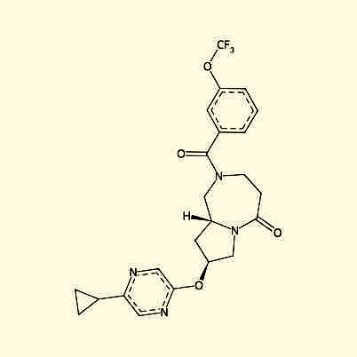 O=C(c1cccc(OC(F)(F)F)c1)N1CCC(=O)N2C[C@@H](Oc3cnc(C4CC4)cn3)C[C@@H]2C1